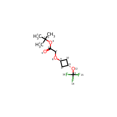 CC(C)(C)OC(=O)CO[C@H]1C[C@H](OC(F)(F)F)C1